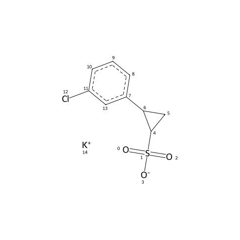 O=S(=O)([O-])C1CC1c1cccc(Cl)c1.[K+]